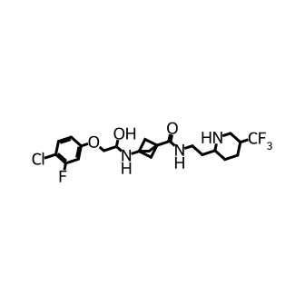 O=C(NCCC1CCC(C(F)(F)F)CN1)C12CC(NC(O)COc3ccc(Cl)c(F)c3)(C1)C2